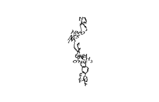 CN1NN(CC(F)CCc2nnc(NC(=O)Cc3nccs3)s2)C=C1C(=O)NCc1cc(OC(F)(F)F)ccc1F